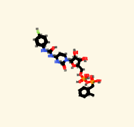 Cc1ccccc1CP(=O)(O)OP(=O)(O)OC[C@H]1O[C@@H](N2C=CC(NC(=O)Nc3ccc(F)cc3)NC2=O)[C@@H](O)C1O